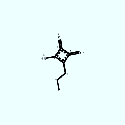 CCCc1c(S)c(=S)c1=S